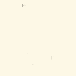 CCC[C@](C)(C(=O)OC1CCC(C(C)(C)C)CC1)C(C)C